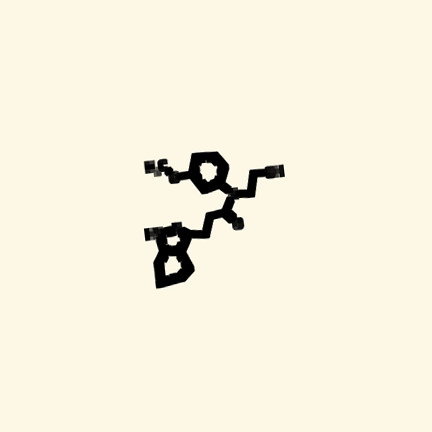 COc1cccc(N(CCO)C(=O)CCc2n[nH]c3ccccc23)c1